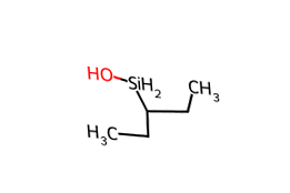 CCC(CC)[SiH2]O